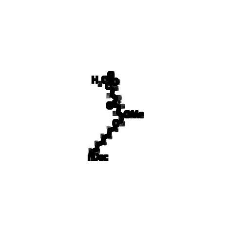 CCCCCCCCCCCCCCCCCCOCC(CC[S+]([O-])CCCOS(C)(=O)=O)OC